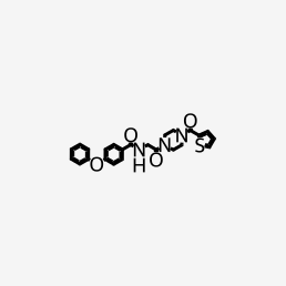 O=C(NCC(=O)N1CCN(C(=O)c2cccs2)CC1)c1ccc(Oc2ccccc2)cc1